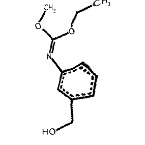 CCOC(=Nc1cccc(CO)c1)OC